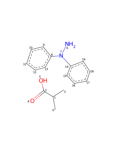 CC(C)C(=O)O.NN(c1ccccc1)c1ccccc1